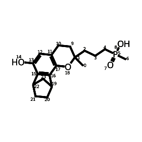 CC1(CCCP(C)(=O)O)CCc2cc(O)c3c(c2O1)C1CCC3C1